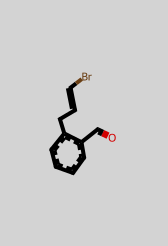 O=Cc1ccccc1CC=CBr